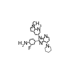 Cn1ccc2cc(-n3c(-c4ccc(N)c(F)c4)nc4c(N5CCCCC5)ccnc43)cnc21